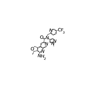 C[C@H]1OCc2c1c(N)nc1cnc(C(=O)N(Cc3ccc(C(F)(F)F)cn3)c3cnn(C)c3)cc21